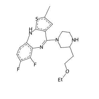 CCOCCC1CN(C2=Nc3c(ccc(F)c3F)Nc3sc(C)cc32)CCN1